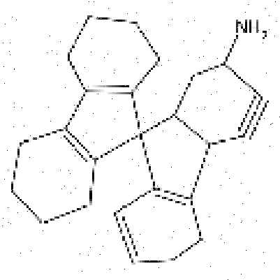 NC1C#CC2C3=C(C=CCC3)C3(C4=C(CCCC4)C4=C3CCCC4)C2C1